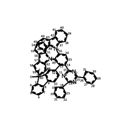 CC1(C)c2ccccc2-c2ccc(-c3c(-c4nc(-c5ccccc5)nc(-c5ccccc5)n4)ccc(-n4c5ccccc5c5ccccc54)c3-n3c4ccccc4c4ccccc43)cc21